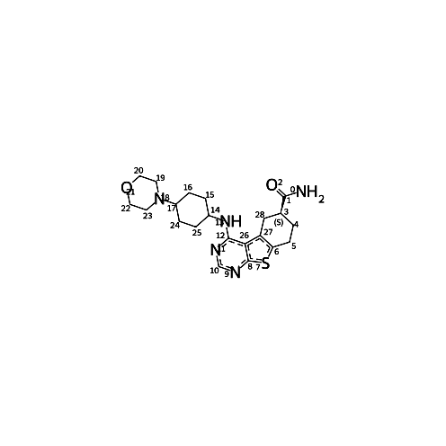 NC(=O)[C@H]1CCc2sc3ncnc(NC4CCC(N5CCOCC5)CC4)c3c2C1